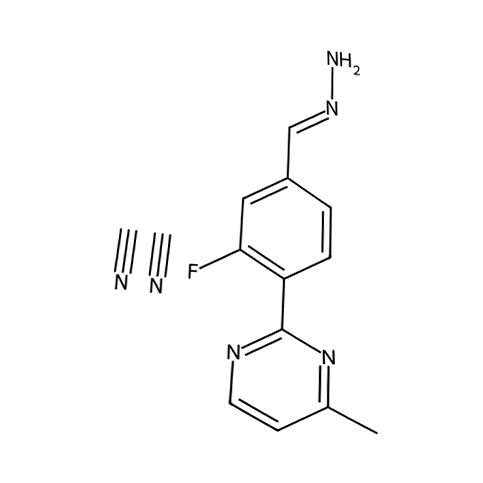 C#N.C#N.Cc1ccnc(-c2ccc(C=NN)cc2F)n1